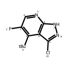 CC(C)(C)c1c(F)cnc2[nH]nc(Cl)c12